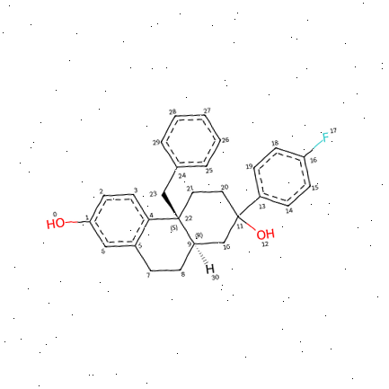 Oc1ccc2c(c1)CC[C@@H]1CC(O)(c3ccc(F)cc3)CC[C@@]21Cc1ccccc1